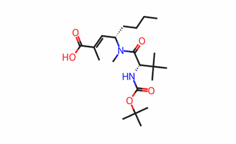 CCCC[C@@H](/C=C(\C)C(=O)O)N(C)C(=O)[C@@H](NC(=O)OC(C)(C)C)C(C)(C)C